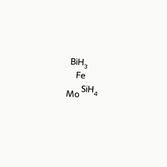 [BiH3].[Fe].[Mo].[SiH4]